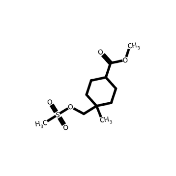 COC(=O)C1CCC(C)(COS(C)(=O)=O)CC1